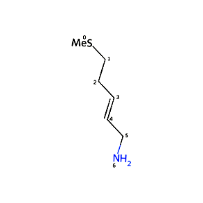 [CH2]SCCC=CCN